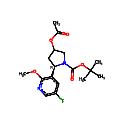 COc1ncc(F)cc1[C@H]1CC(OC(C)=O)CN1C(=O)OC(C)(C)C